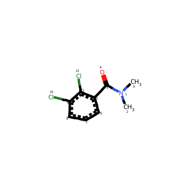 CN(C)C(=O)c1cc[c]c(Cl)c1Cl